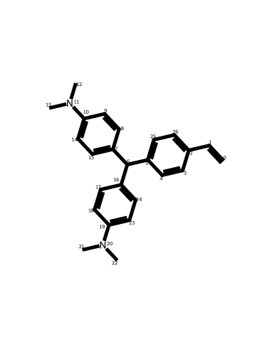 C=Cc1ccc(C(c2ccc(N(C)C)cc2)c2ccc(N(C)C)cc2)cc1